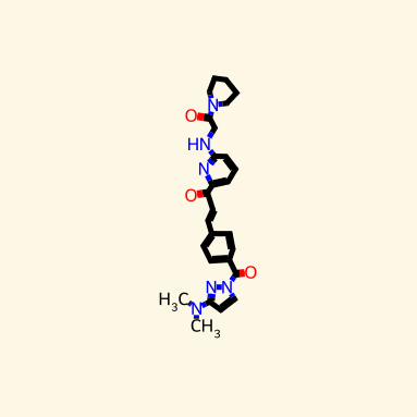 CN(C)c1ccn(C(=O)c2ccc(C=CC(=O)c3cccc(NCC(=O)N4CCCCC4)n3)cc2)n1